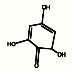 O=C1C(O)=CC(O)=CC1O